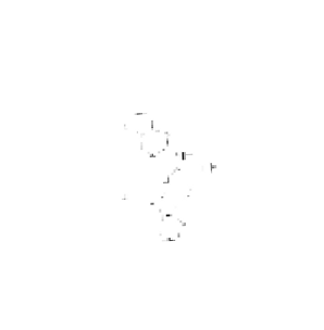 N#CC(=Cc1cn(CC(=O)O)c2ccccc12)C(=O)Nc1ccc2c(c1)OCO2